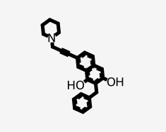 Oc1cc2ccc(C#CCN3CCCCC3)cc2c(O)c1Cc1ccccc1